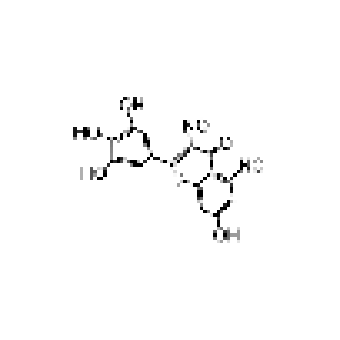 O=Nc1c(-c2cc(O)c(O)c(O)c2)oc2cc(O)cc(N=O)c2c1=O